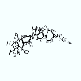 CCn1c(N)c(C(N)=O)c(=O)c2cnc(Nc3ccc(C4CCN(CCC(F)(F)F)CC4)cc3OC)nc21